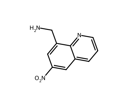 NCc1cc([N+](=O)[O-])cc2cccnc12